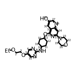 CCOCCOc1cnc(NC2CCC(Oc3nc(N4CCOCC4)cc4ncc(O)cc34)CC2)nc1